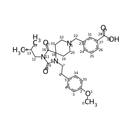 COc1ccc(CCN2C(=O)N(CC(C)C)C(=O)C23CCN(Cc2cccc(C(=O)O)c2)CC3)cc1